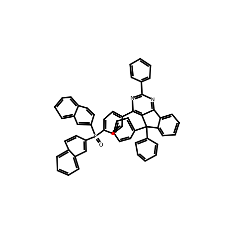 O=P(c1ccc(-c2nc(-c3ccccc3)nc3c2C(c2ccccc2)(c2ccccc2)c2ccccc2-3)cc1)(c1ccc2ccccc2c1)c1ccc2ccccc2c1